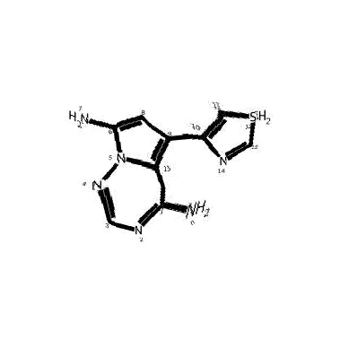 Nc1ncnn2c(N)cc(C3=C[SiH2]C=N3)c12